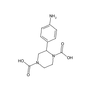 Nc1ccc(C2CN(C(=O)O)CCN2C(=O)O)cc1